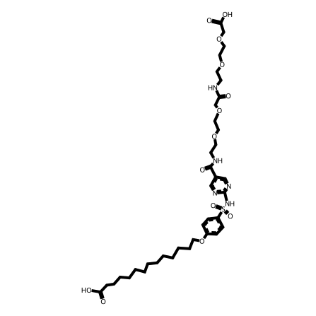 O=C(O)CCCCCCCCCCCCCOc1ccc(S(=O)(=O)Nc2ncc(C(=O)NCCOCCOCC(=O)NCCOCCOCC(=O)O)cn2)cc1